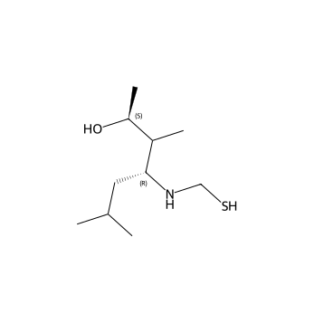 CC(C)C[C@@H](NCS)C(C)[C@H](C)O